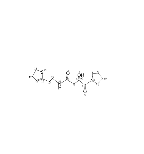 O=C(C[C@@H](O)C(=O)N1CCCC1)NCCC1=CCCS1